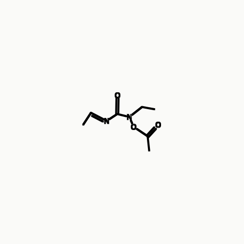 CC=NC(=O)N(CC)OC(C)=O